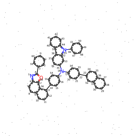 c1ccc(-c2nc3ccc4cccc(-c5ccc(N(c6ccc(-c7ccc8ccccc8c7)cc6)c6ccc7c8ccccc8n(-c8ccccc8)c7c6)cc5)c4c3o2)cc1